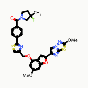 COc1cc(OCc2csc(-c3ccc(C(=O)N4CCC(C)(F)C4)cc3)n2)c2cc(-c3cn4nc(OC)sc4n3)oc2c1